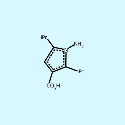 CC(C)c1cc(C(=O)O)c(C(C)C)n1N